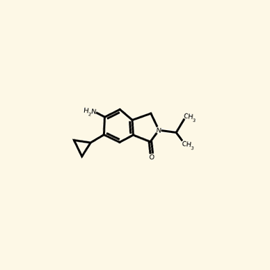 CC(C)N1Cc2cc(N)c(C3CC3)cc2C1=O